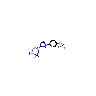 Cc1cc(N2CCNC(C)(C)C2)nn1-c1ccc(OC(F)(F)F)cc1